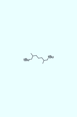 CC(CCCC(C)CC(C)(C)C)CC(C)(C)C